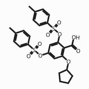 Cc1ccc(S(=O)(=O)Oc2cc(OC3CCCC3)c(C(=O)O)c(OS(=O)(=O)c3ccc(C)cc3)c2)cc1